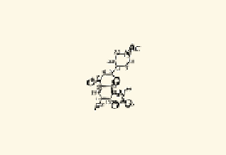 CC(=O)N1CCC(c2cc(=O)c3cc(F)c4oc(=O)n(C)c4c3o2)CC1